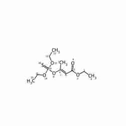 CCOC(=O)/C=C(\C)OP(=S)(OCC)OCC